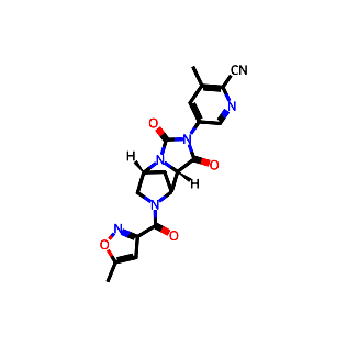 Cc1cc(C(=O)N2C[C@H]3CC2[C@H]2C(=O)N(c4cnc(C#N)c(C)c4)C(=O)N32)no1